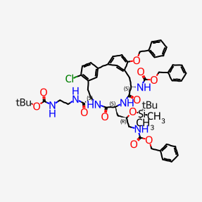 CC(C)(C)OC(=O)NCCNC(=O)[C@@H]1Cc2cc(ccc2Cl)-c2ccc(OCc3ccccc3)c(c2)C[C@H](NC(=O)OCc2ccccc2)C(=O)N[C@@H](C[C@H](CNC(=O)OCc2ccccc2)O[Si](C)(C)C(C)(C)C)C(=O)N1